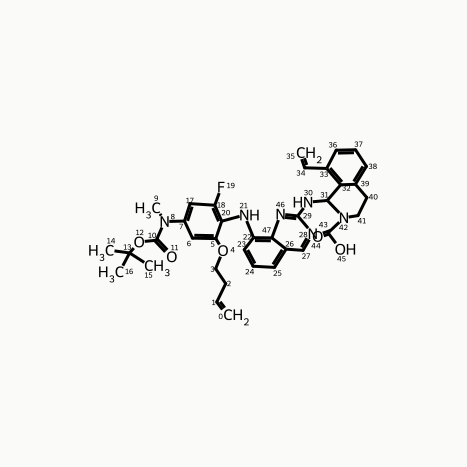 C=CCCOc1cc(N(C)C(=O)OC(C)(C)C)cc(F)c1Nc1cccc2cnc(NC3c4c(C=C)cccc4CCN3C(=O)O)nc12